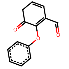 O=[C]C1=C(Oc2ccccc2)C(=O)CC=C1